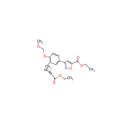 C#CC(=O)OCC.CCOC(=O)c1cc(-c2ccc(OCOC)c(C)c2)no1